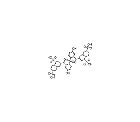 O=C(c1cc(S(=O)(=O)O)c2ccc(S(=O)(=O)O)cc2c1)c1cc(O)ccc1S(=O)(=O)c1ccc(O)cc1C(=O)c1cc(S(=O)(=O)O)c2ccc(S(=O)(=O)O)cc2c1